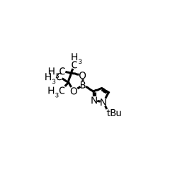 CC(C)(C)n1ccc(B2OC(C)(C)C(C)(C)O2)n1